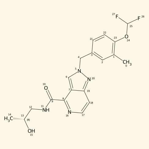 Cc1cc(Cn2cc3c(C(=O)NC[C@@H](C)O)nccc3n2)ccc1OC(F)F